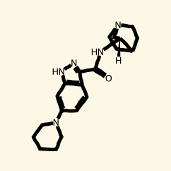 O=C(N[C@@H]1CN2CCC1CC2)c1n[nH]c2cc(N3CCCCC3)ccc12